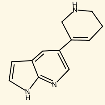 C1=C(c2cnc3[nH]ccc3c2)CNCC1